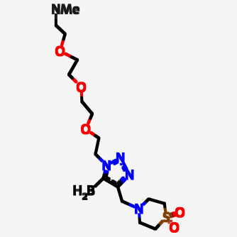 Bc1c(CN2CCS(=O)(=O)CC2)nnn1CCOCCOCCOCCNC